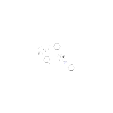 CC(C)N(C(=O)C(c1cccnc1)C(CNS(=O)(=O)/C=C/c1ccccc1)c1ccccc1)C(C)C